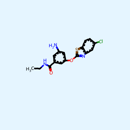 CCNC(=O)c1cc(N)cc(Oc2nc3cc(Cl)ccc3s2)c1